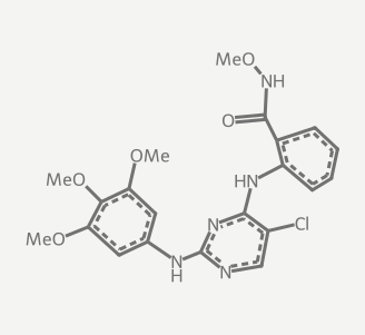 CONC(=O)c1ccccc1Nc1nc(Nc2cc(OC)c(OC)c(OC)c2)ncc1Cl